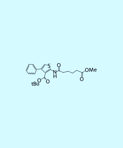 COC(=O)CCCCC(=O)Nc1scc(-c2ccccc2)c1C(=O)OC(C)(C)C